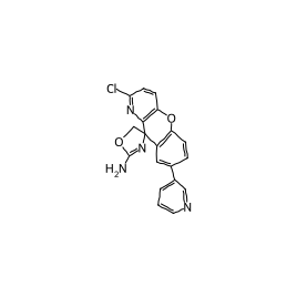 NC1=NC2(CO1)c1cc(-c3cccnc3)ccc1Oc1ccc(Cl)nc12